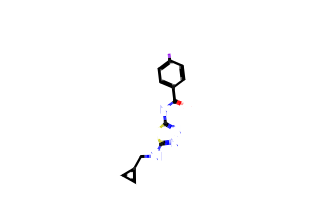 O=C(Nc1nnc(NCC2CC2)s1)c1ccc(I)cc1